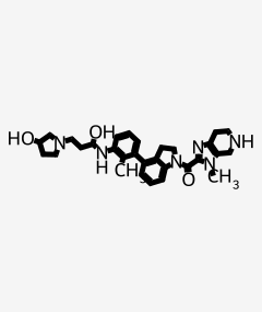 Cc1c(NC(O)CCN2CCC(O)C2)cccc1-c1cccc2c1CCN2C(=O)c1nc2c(n1C)CNCC2